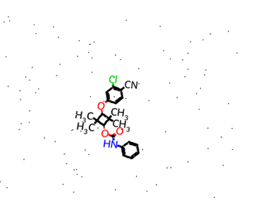 CC1(C)[C@H](OC(=O)Nc2ccccc2)C(C)(C)[C@H]1Oc1ccc(C#N)c(Cl)c1